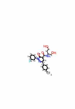 O=C(NC(CO)CCO)c1cc(-c2ccc(C(F)(F)F)cc2)nn(-c2cccc(F)c2)c1=O